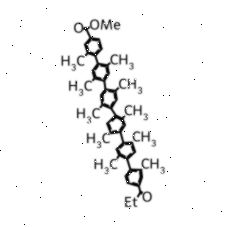 CCC(=O)c1ccc(-c2cc(C)c(-c3cc(C)c(-c4cc(C)c(-c5cc(C)c(-c6ccc(C(=O)OC)cc6C)cc5C)cc4C)cc3C)cc2C)c(C)c1